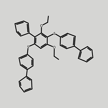 CCOc1cc(Sc2ccc(-c3ccccc3)cc2)c(-c2ccccc2)c(OCC)c1Sc1ccc(-c2ccccc2)cc1